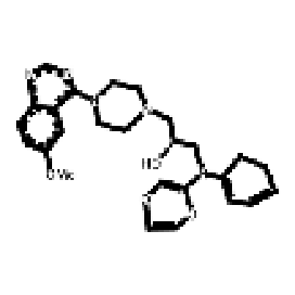 COc1ccc2ncnc(N3CCN(C[C@H](O)CN(C4=CC=CCC4)C4=COC=CO4)CC3)c2c1